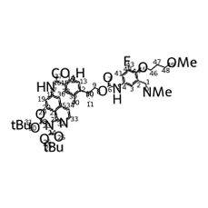 CNCc1cc(NC(=O)OC[C@H](C)c2ccc(C(Nc3ccc4c(N(C(=O)OC(C)(C)C)C(=O)OC(C)(C)C)nccc4c3)C(=O)O)cc2C)cc(F)c1OCCCOC